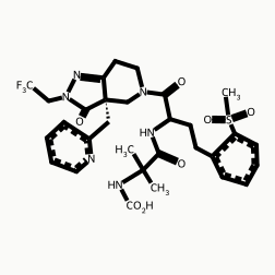 CC(C)(NC(=O)O)C(=O)NC(CCc1ccccc1S(C)(=O)=O)C(=O)N1CCC2=NN(CC(F)(F)F)C(=O)[C@]2(Cc2ccccn2)C1